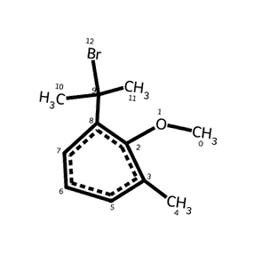 COc1c(C)cccc1C(C)(C)Br